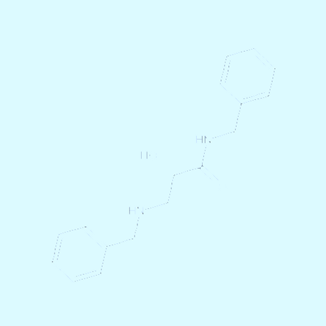 O=C(NCc1ccccc1)[C@@H](O)CNCc1ccccc1